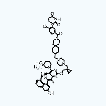 C#Cc1cccc2cc(O)cc(-c3ncc4c(N5CCC[C@@](C)(O)C5)nc(OCC5(CN6CCN(CC7CCC8(CC7)CCN(C(=O)c7ccc(Cl)c(N9CCC(=O)NC9=O)c7)CC8)CC6)CC5)nc4c3F)c12